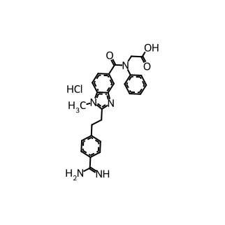 Cl.Cn1c(CCc2ccc(C(=N)N)cc2)nc2cc(C(=O)N(CC(=O)O)c3ccccc3)ccc21